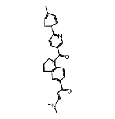 Cc1ccc(-c2ccc(C(=O)N3CCCc4cc(C(=O)C=CN(C)C)ccc43)cn2)cc1